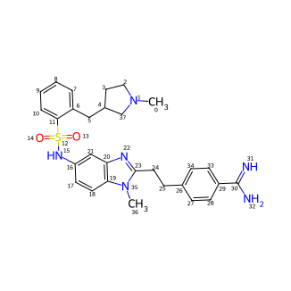 CN1CCC(Cc2ccccc2S(=O)(=O)Nc2ccc3c(c2)nc(CCc2ccc(C(=N)N)cc2)n3C)C1